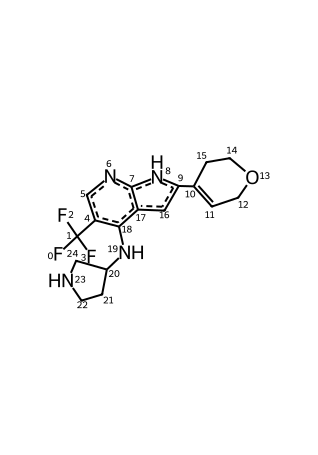 FC(F)(F)c1cnc2[nH]c(C3=CCOCC3)cc2c1NC1CCNC1